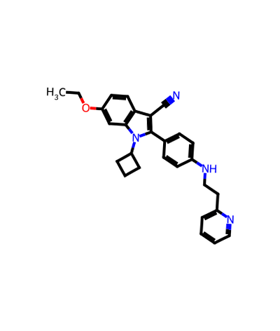 CCOc1ccc2c(C#N)c(-c3ccc(NCCc4ccccn4)cc3)n(C3CCC3)c2c1